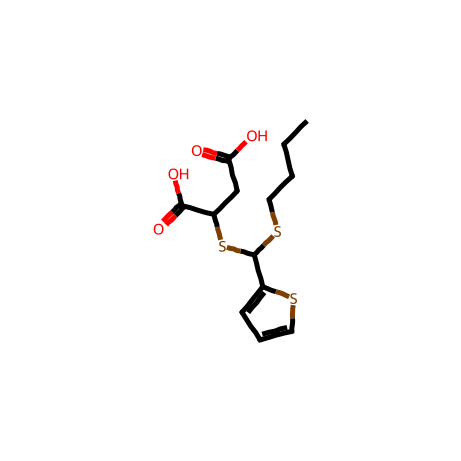 CCCCSC(SC(CC(=O)O)C(=O)O)c1cccs1